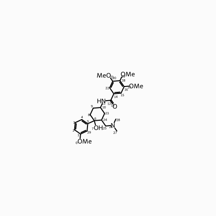 COc1cccc(C2(O)CCC(NC(=O)c3cc(OC)c(OC)c(OC)c3)CC2CN(C)C)c1